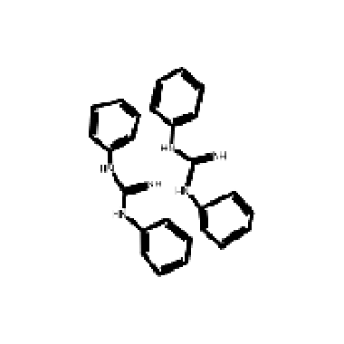 N=C(Nc1ccccc1)Nc1ccccc1.N=C(Nc1ccccc1)Nc1ccccc1